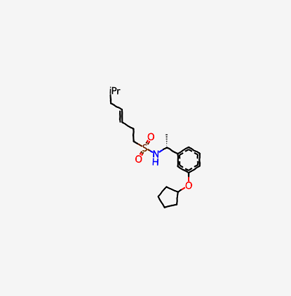 CC(C)C/C=C/CCS(=O)(=O)N[C@H](C)c1cccc(OC2CCCC2)c1